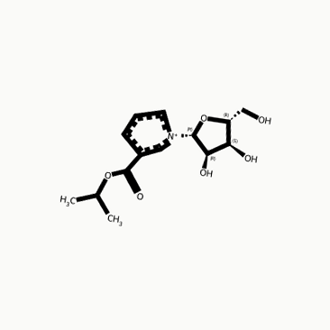 CC(C)OC(=O)c1ccc[n+]([C@@H]2O[C@H](CO)[C@@H](O)[C@H]2O)c1